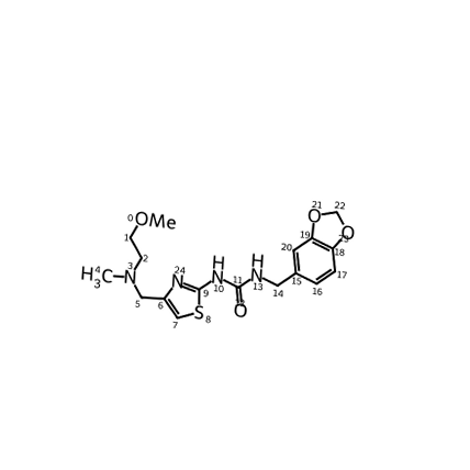 COCCN(C)Cc1csc(NC(=O)NCc2ccc3c(c2)OCO3)n1